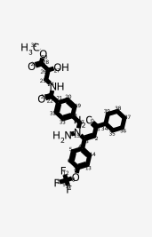 C=C(/C=C(/c1ccc(OC(F)(F)F)cc1)N(N)Cc1ccc(C(=O)NCC(O)C(=O)OC)cc1)C1CCCCC1